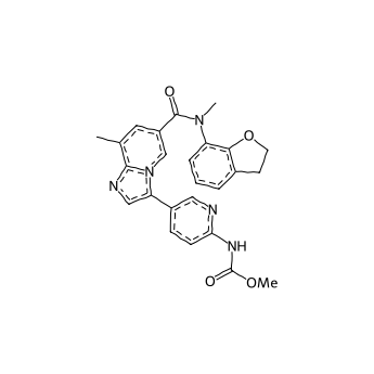 COC(=O)Nc1ccc(-c2cnc3c(C)cc(C(=O)N(C)c4cccc5c4OCC5)cn23)cn1